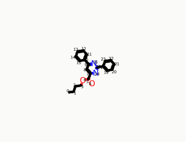 CCCCOC(=O)c1cc(-c2ccccc2)nc(-c2ccccc2)n1